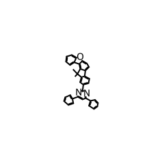 CC1(C)c2cc(-c3nc(-c4ccccc4)cc(-c4ccccc4)n3)ccc2-c2ccc3oc4ccccc4c3c21